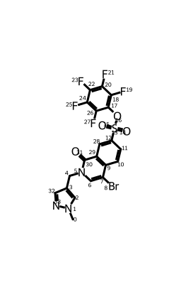 Cn1cc(Cn2cc(Br)c3ccc(S(=O)(=O)Oc4c(F)c(F)c(F)c(F)c4F)cc3c2=O)cn1